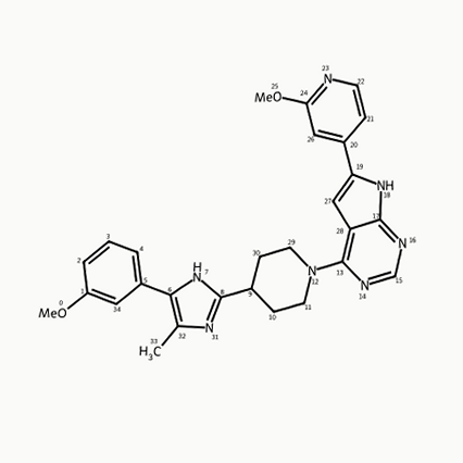 COc1cccc(-c2[nH]c(C3CCN(c4ncnc5[nH]c(-c6ccnc(OC)c6)cc45)CC3)nc2C)c1